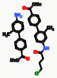 COC(=O)c1ccc(-c2ccc(N)cc2C)cc1.COC(=O)c1ccc(-c2ccc(NC(=O)CCCCl)cc2C)cc1